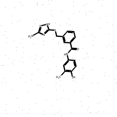 Cc1cc(NC(=O)c2cccc(CSc3nc(N)n[nH]3)c2)ccc1C(C)C